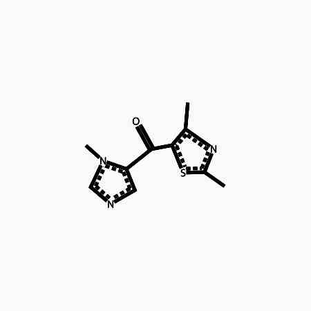 Cc1nc(C)c(C(=O)c2cncn2C)s1